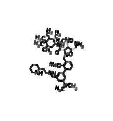 COc1c(CN2O[C@@H](CN)[C@@H]([C@H](C)O)[C@H]2C(=O)N[C@H]2C[C@@H](C)C(C)(C)[C@@H](C)[C@@H]2C)cccc1-c1cc(CNCCC2CCCCN2)cc(N(C)C)c1